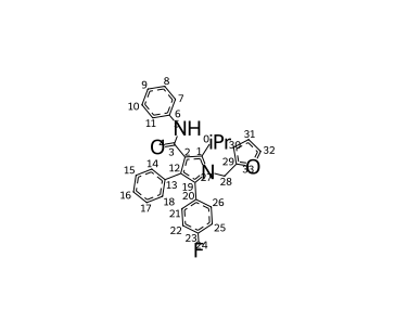 CC(C)c1c(C(=O)Nc2ccccc2)c(-c2ccccc2)c(-c2ccc(F)cc2)n1Cc1ccco1